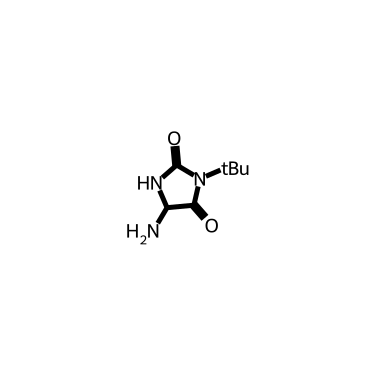 CC(C)(C)N1C(=O)NC(N)C1=O